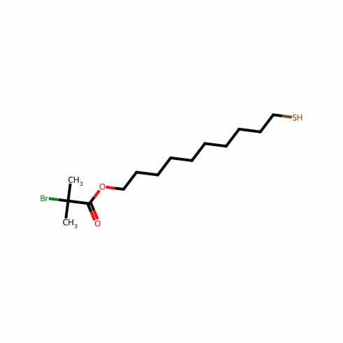 CC(C)(Br)C(=O)OCCCCCCCCCCS